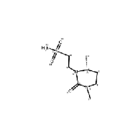 C[C@@H]1CCN(C)C(=O)N1CCS(N)(=O)=O